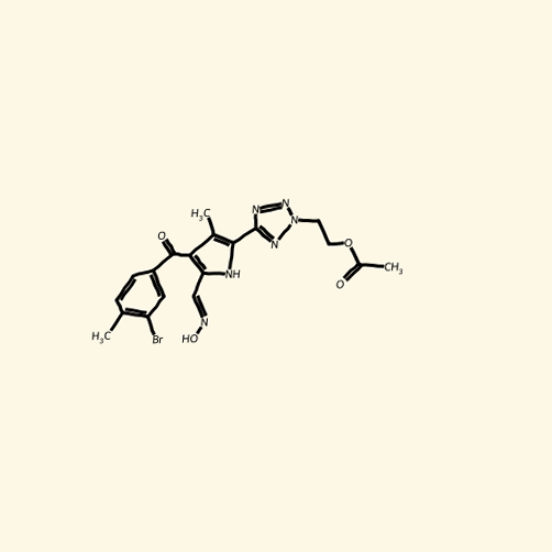 CC(=O)OCCn1nnc(-c2[nH]c(/C=N/O)c(C(=O)c3ccc(C)c(Br)c3)c2C)n1